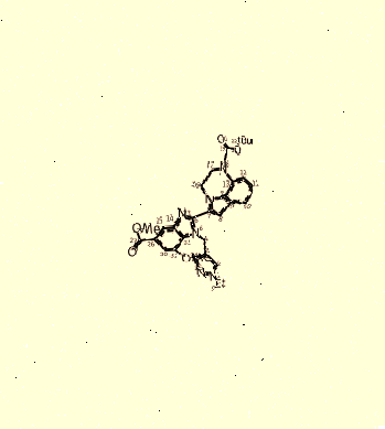 CCn1cc(Cn2c(-c3cc4cccc5c4n3CCN5C(=O)OC(C)(C)C)nc3cc(C(=O)OC)cc(OC)c32)cn1